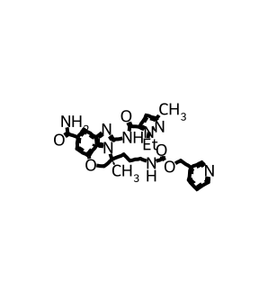 CCn1nc(C)cc1C(=O)Nc1nc2cc(C(N)=O)cc3c2n1[C@@](C)(CCCNC(=O)OCc1cccnc1)CO3